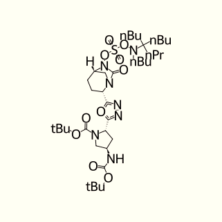 CCCCN(OS(=O)(=O)ON1C(=O)N2C[C@@H]1CC[C@H]2c1nnc([C@@H]2C[C@@H](NC(=O)OC(C)(C)C)CN2C(=O)OC(C)(C)C)o1)C(CCC)(CCCC)CCCC